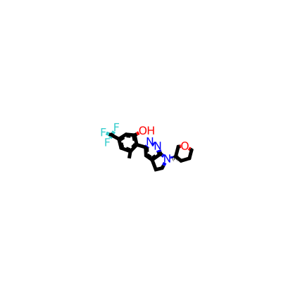 Cc1cc(C(F)(F)F)cc(O)c1-c1cc2c(nn1)N([C@@H]1CCCOC1)CC2